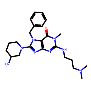 CN(C)CCCNc1nc2nc(N3CCCC(N)C3)n(Cc3ccccc3)c2c(=O)n1C